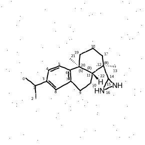 CC(I)c1ccc2c(c1)CC[C@H]1[C@](C)(C3NN3)CCC[C@]21C